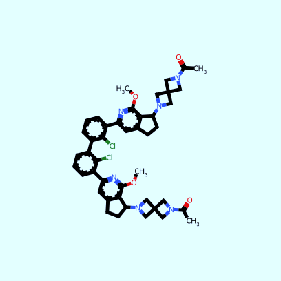 COc1nc(-c2cccc(-c3cccc(-c4cc5c(c(OC)n4)C(N4CC6(CN(C(C)=O)C6)C4)CC5)c3Cl)c2Cl)cc2c1C(N1CC3(CN(C(C)=O)C3)C1)CC2